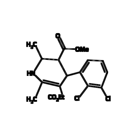 CCOC(=O)C1=C(C)NC(C)C(C(=O)OC)C1c1cccc(Cl)c1Cl